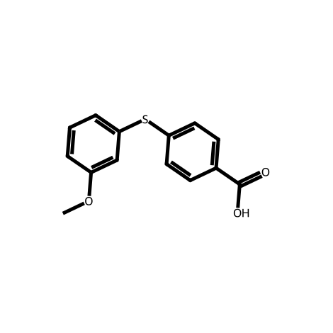 COc1cccc(Sc2ccc(C(=O)O)cc2)c1